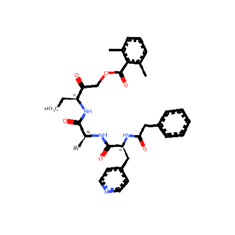 Cc1cccc(C)c1C(=O)OCC(=O)[C@H](CC(=O)O)NC(=O)[C@@H](NC(=O)[C@H](Cc1ccncc1)NC(=O)Cc1ccccc1)C(C)C